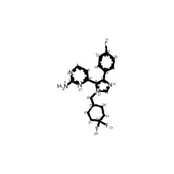 Nc1nccc(-c2c(-c3ccc(F)cc3)ncn2CC2CCC(F)(F)CC2)n1